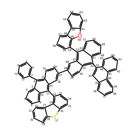 c1ccc(-c2c3ccccc3c(-c3cccc4sc5ccccc5c34)c3cc(-c4ccc5c(-c6cc7ccccc7c7ccccc67)c6ccccc6c(-c6cccc7c6oc6ccccc67)c5c4)ccc23)cc1